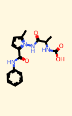 Cc1ccc(C(=O)Nc2ccccc2)n1NC(=O)C(C)NC(=O)O